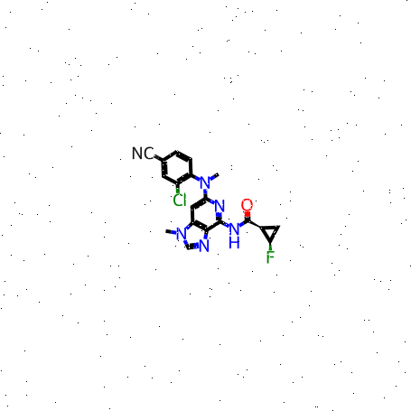 CN(c1cc2c(ncn2C)c(NC(=O)[C@H]2C[C@H]2F)n1)c1ccc(C#N)cc1Cl